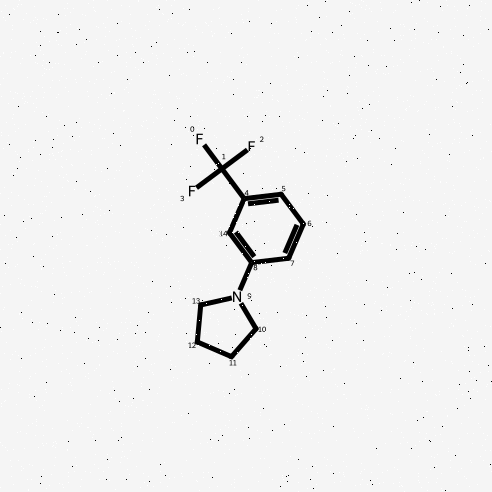 FC(F)(F)c1c[c]cc(N2CCCC2)c1